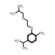 Cc1ccc(C(C)C)cc1OCCOCC(C)C